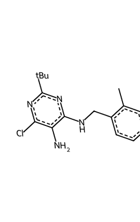 Cc1ccccc1CNc1nc(C(C)(C)C)nc(Cl)c1N